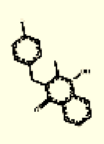 Cc1c(Cc2ccc(O)cc2)c(=O)c2ccccc2n1O